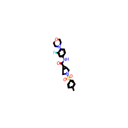 Cc1ccc(S(=O)(=O)N2CC3C(C2)C3C(=O)Nc2ccc(N3CCOCC3)c(F)c2)cc1